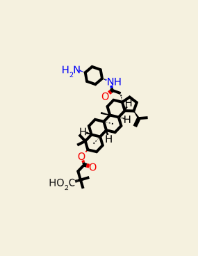 C=C(C)[C@@H]1CC[C@]2(CC(=O)N[C@H]3CC[C@@H](N)CC3)CC[C@]3(C)[C@H](CC[C@@H]4[C@@]5(C)CC[C@H](OC(=O)CC(C)(C)C(=O)O)C(C)(C)[C@@H]5CC[C@]43C)[C@@H]12